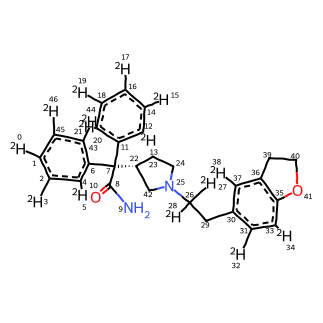 [2H]c1c([2H])c([2H])c(C(C(N)=O)(c2c([2H])c([2H])c([2H])c([2H])c2[2H])[C@@H]2CCN(C([2H])([2H])Cc3c([2H])c([2H])c4c(c3[2H])CCO4)C2)c([2H])c1[2H]